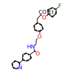 CCOC(=O)C(Cc1ccc(OCCNC(=O)c2ccc(-c3ccccn3)cc2)cc1)Oc1ccc(F)cc1